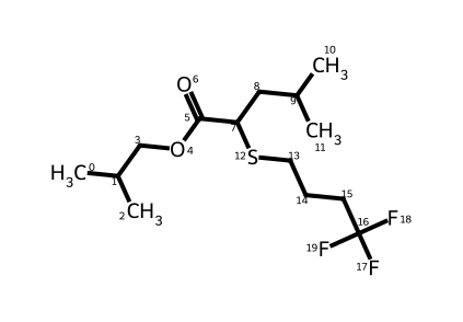 CC(C)COC(=O)C(CC(C)C)SCCCC(F)(F)F